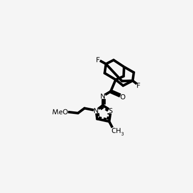 COCCn1cc(C)sc1=NC(=O)C12CC3CC(F)(CC(F)(C3)C1)C2